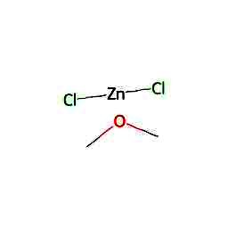 COC.[Cl][Zn][Cl]